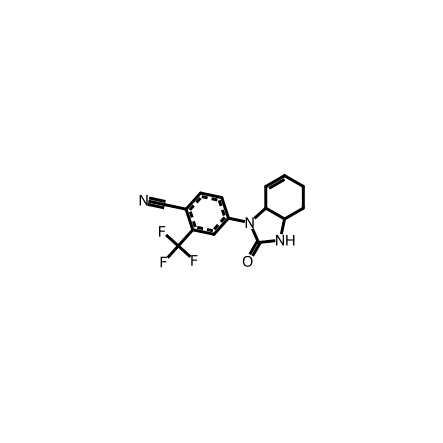 N#Cc1ccc(N2C(=O)NC3CCC=CC32)cc1C(F)(F)F